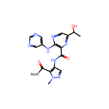 CNC(=O)c1c(NC(=O)c2nc(C(C)O)cnc2Nc2cncnc2)cnn1C